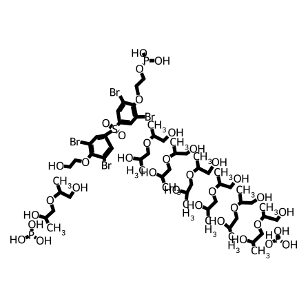 CC(O)COC(C)CO.CC(O)COC(C)CO.CC(O)COC(C)CO.CC(O)COC(C)CO.CC(O)COC(C)CO.CC(O)COC(C)CO.CC(O)COC(C)CO.O=S(=O)(c1cc(Br)c(OCCO)c(Br)c1)c1cc(Br)c(OCCOP(O)O)c(Br)c1.OP(O)O.OP(O)O